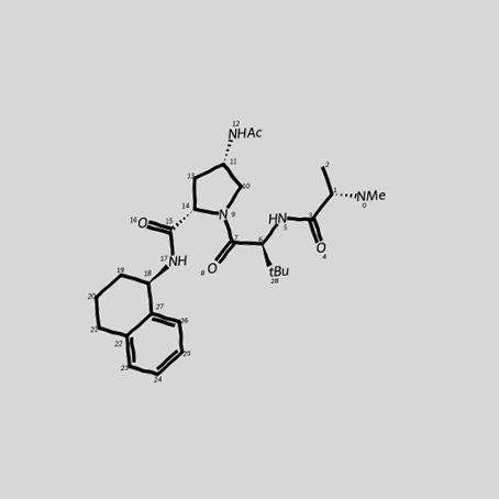 CN[C@@H](C)C(=O)N[C@H](C(=O)N1C[C@@H](NC(C)=O)C[C@H]1C(=O)N[C@@H]1CCCc2ccccc21)C(C)(C)C